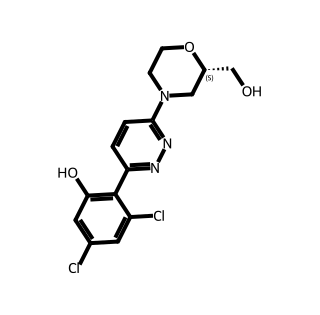 OC[C@@H]1CN(c2ccc(-c3c(O)cc(Cl)cc3Cl)nn2)CCO1